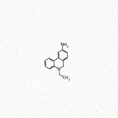 CCN1Cc2ccc(N)cc2-c2ccccc21